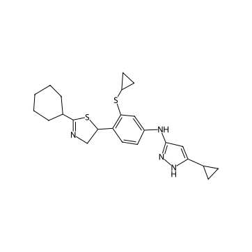 c1cc(C2CN=C(C3CCCCC3)S2)c(SC2CC2)cc1Nc1cc(C2CC2)[nH]n1